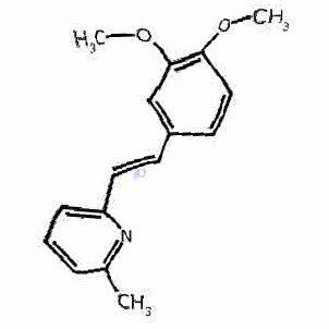 COc1ccc(/C=C/c2cccc(C)n2)cc1OC